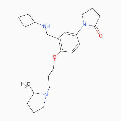 CC1CCCN1CCCOc1ccc(N2CCCC2=O)cc1CNC1CCC1